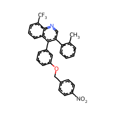 Cc1ccccc1-c1cnc2c(C(F)(F)F)cccc2c1-c1cccc(OCc2ccc([N+](=O)[O-])cc2)c1